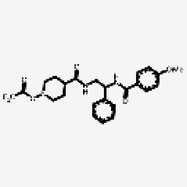 COc1ccc(C(=O)NC(CNC(=O)C2CCN(OC(=O)C(F)(F)F)CC2)c2ccccc2)cc1